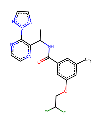 CC(NC(=O)c1cc(OCC(F)F)cc(C(F)(F)F)c1)c1nccnc1-n1nccn1